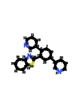 c1cncc(-c2ccc(-c3cccnc3)c(-c3nc4ccccc4s3)c2)c1